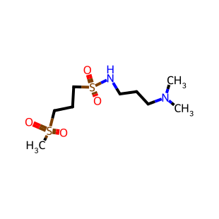 CN(C)CCCNS(=O)(=O)CCCS(C)(=O)=O